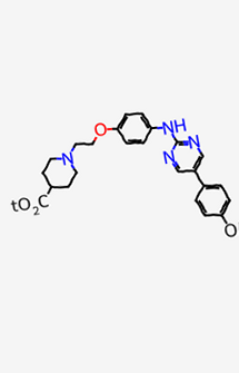 CCOC(=O)C1CCN(CCOc2ccc(Nc3ncc(-c4ccc(OC)cc4)cn3)cc2)CC1